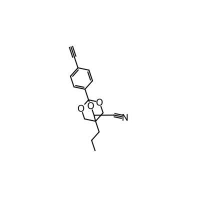 C#Cc1ccc(C23OCC(CCC)(CO2)C(C#N)O3)cc1